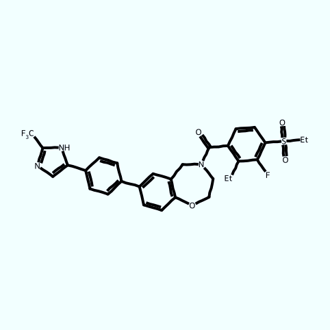 CCc1c(C(=O)N2CCOc3ccc(-c4ccc(-c5cnc(C(F)(F)F)[nH]5)cc4)cc3C2)ccc(S(=O)(=O)CC)c1F